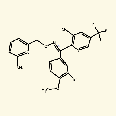 COc1ccc(/C(=N\OCc2cccc(N)n2)c2ncc(C(F)(F)F)cc2Cl)cc1Br